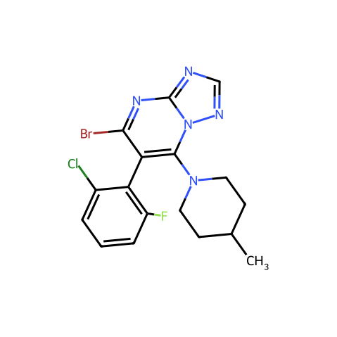 CC1CCN(c2c(-c3c(F)cccc3Cl)c(Br)nc3ncnn23)CC1